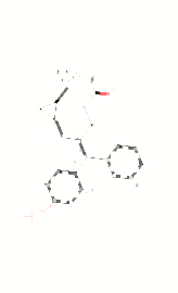 C=C1C/C1=C/C(CCC(=O)OC)=C(/c1ccccc1)c1ccc(O)cc1